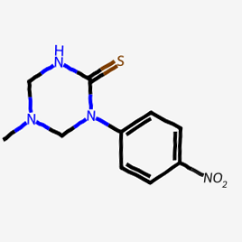 CN1CNC(=S)N(c2ccc([N+](=O)[O-])cc2)C1